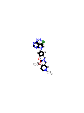 CN1CCC[C@H](CN(C[C@@H]2CC[C@H](n3cc(Br)c4c(N)ncnc43)C2)C(=O)OC(C)(C)C)C1